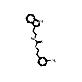 Cc1cccc(CCSC(=S)NCCc2c[nH]c3ccccc23)c1